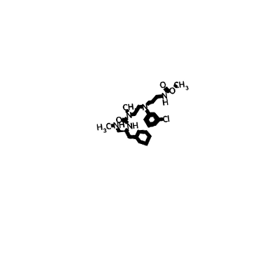 CNC[C@H](CC1CCCCC1)NC(=O)N(C)CCN(CCCNC(=O)OC)c1cccc(Cl)c1